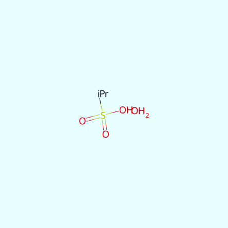 CC(C)S(=O)(=O)O.O